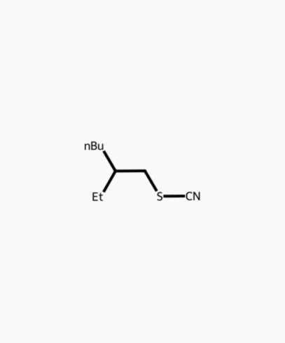 CCCCC(CC)CSC#N